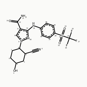 N#CC1CC(O)CCC1n1cc(C(N)=O)c(Nc2ccc(S(=O)(=O)C(F)(F)F)cc2)n1